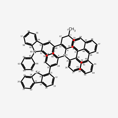 CC1C=CC(N(c2cccc(-c3cccc4c3sc3ccccc34)c2)c2ccccc2-c2cccc3cccc(-c4ccccc4)c23)=C(c2ccc3c(c2)c2ccccc2n3-c2ccccc2)C1